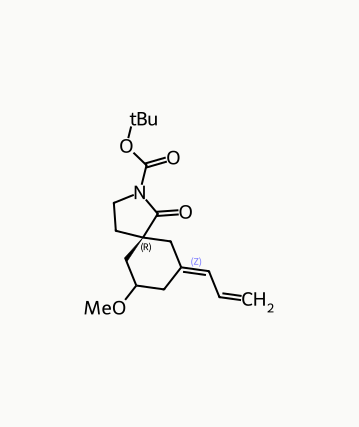 C=C/C=C1\CC(OC)C[C@]2(CCN(C(=O)OC(C)(C)C)C2=O)C1